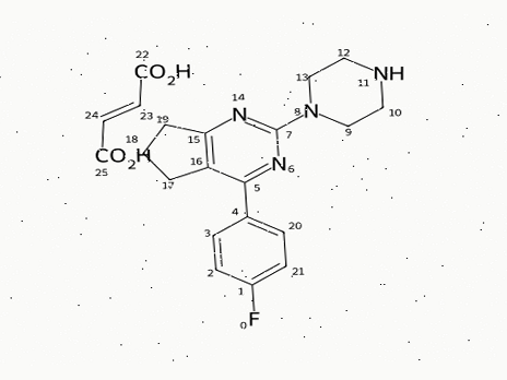 Fc1ccc(-c2nc(N3CCNCC3)nc3c2CCC3)cc1.O=C(O)C=CC(=O)O